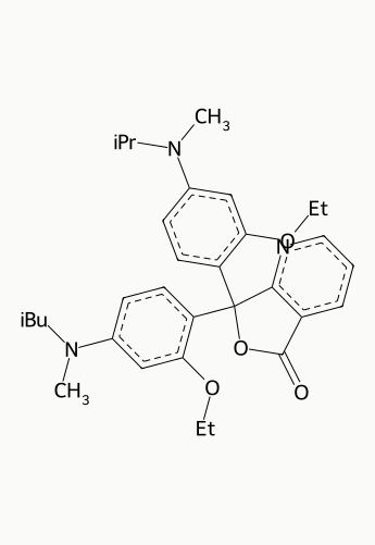 CCOc1cc(N(C)C(C)C)ccc1C1(c2ccc(N(C)C(C)CC)cc2OCC)OC(=O)c2cccnc21